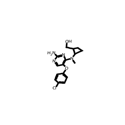 CN(c1nc(N)ncc1Oc1ccc(Cl)cc1)C1CCC1CO